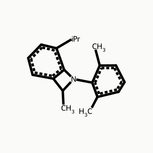 Cc1cccc(C)c1N1c2c(C(C)C)cccc2C1C